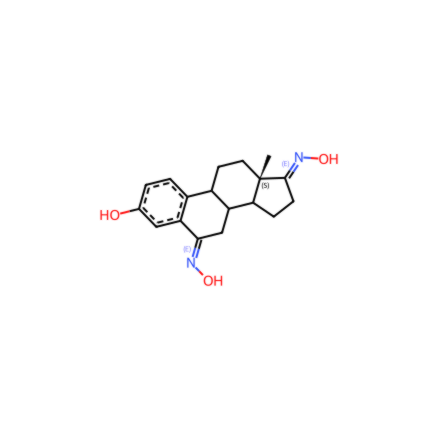 C[C@]12CCC3c4ccc(O)cc4/C(=N/O)CC3C1CC/C2=N\O